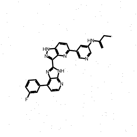 C=C(CC)Nc1cncc(-c2ccc3[nH]nc(-c4nc5c(-c6cccc(F)c6)ccnc5[nH]4)c3n2)c1